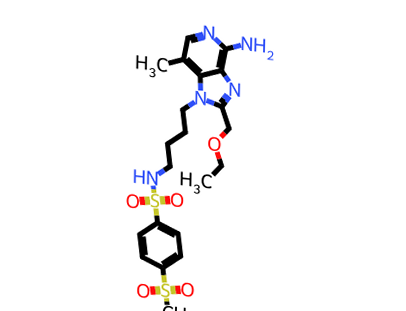 CCOCc1nc2c(N)ncc(C)c2n1CCCCNS(=O)(=O)c1ccc(S(C)(=O)=O)cc1